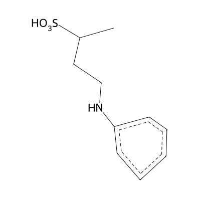 CC(CCNc1ccccc1)S(=O)(=O)O